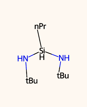 CCC[SiH](NC(C)(C)C)NC(C)(C)C